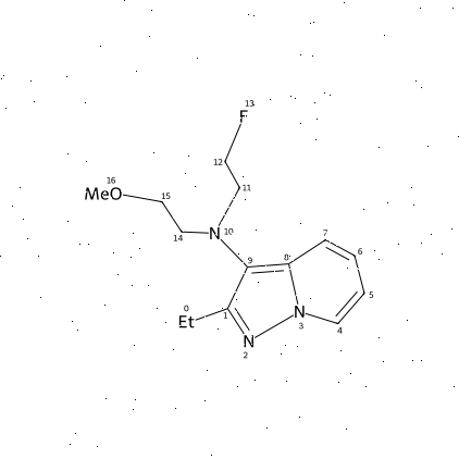 CCc1nn2ccccc2c1N(CCF)CCOC